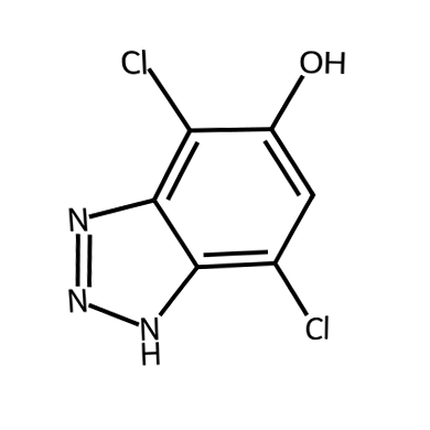 Oc1cc(Cl)c2[nH]nnc2c1Cl